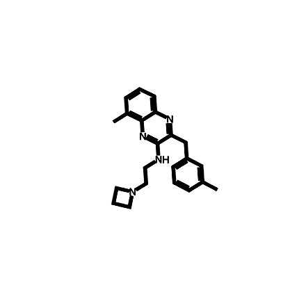 Cc1cccc(Cc2nc3cccc(C)c3nc2NCCN2CCC2)c1